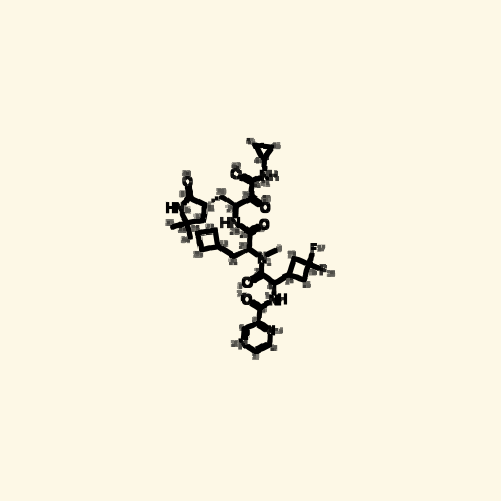 CN(C(=O)[C@H](NC(=O)c1cnccn1)C1CC(F)(F)C1)[C@@H](CC1CCC1)C(=O)N[C@@H](C[C@@H]1CC(C)(C)NC1=O)C(=O)C(=O)NC1CC1